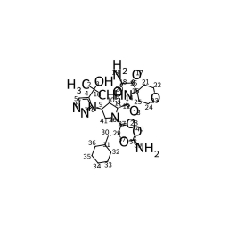 CC(C)(O)c1cnnn1[C@H]1C[C@@H](C(=O)NC2(C(=O)C(N)=O)CCOCC2)N(C(=O)[C@@H](CC2CCCCC2)OC(N)=O)C1